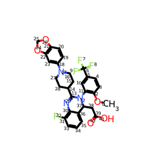 COc1ccc(C(F)(F)F)cc1N1C(C2CCN(c3ccc4c(c3)OCO4)CC2)=Nc2c(F)cccc2C1CC(=O)O